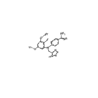 CCOc1cc(OC(C)C)c(F)c(N(Cc2nnn[nH]2)c2ccc(C(=N)N)cc2)c1